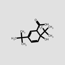 CC(C)(C)C1=CC(C(=O)O)C(O)(C(C)(C)C)C=C1